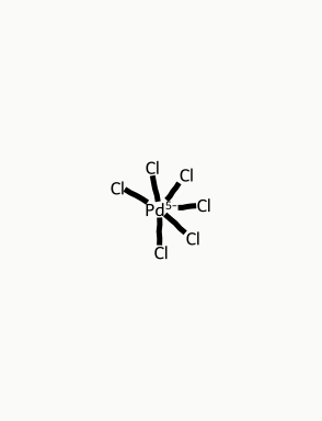 [Cl][Pd-5]([Cl])([Cl])([Cl])([Cl])[Cl]